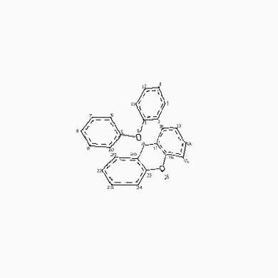 c1ccc(Oc2ccccc2)cc1.c1ccc2c(c1)Cc1ccccc1O2